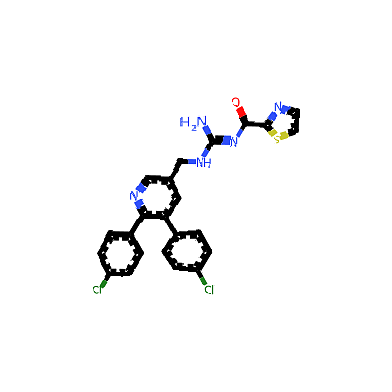 N/C(=N\C(=O)c1nccs1)NCc1cnc(-c2ccc(Cl)cc2)c(-c2ccc(Cl)cc2)c1